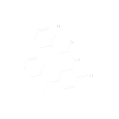 N#C/N=C(/Nc1cc([S+]([O-])c2ccccc2)ccc1N)Oc1ccccc1